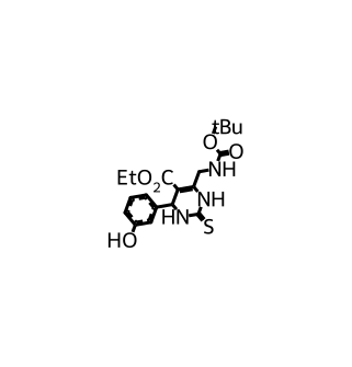 CCOC(=O)C1=C(CNC(=O)OC(C)(C)C)NC(=S)NC1c1cccc(O)c1